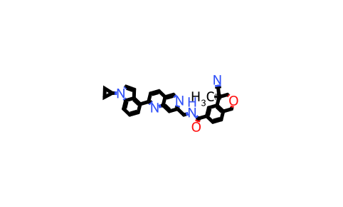 C[C@@]1(C#N)COCc2ccc(C(=O)NCc3cc4nc(-c5cccc6c5ccn6C5CC5)ccc4cn3)cc21